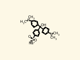 CN(C)c1ccc(C(O)(c2ccc(N(C)C)cc2)c2ccc(S(=O)(=O)[O-])cc2)cc1.[Na+]